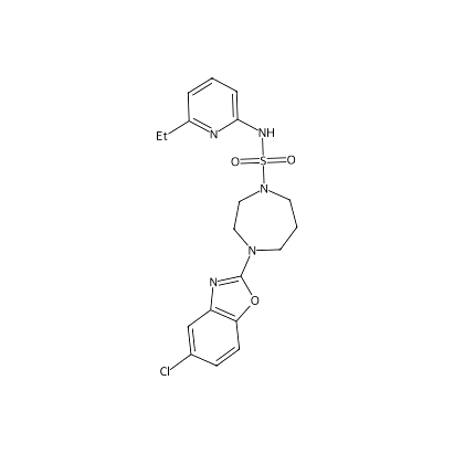 CCc1cccc(NS(=O)(=O)N2CCCN(c3nc4cc(Cl)ccc4o3)CC2)n1